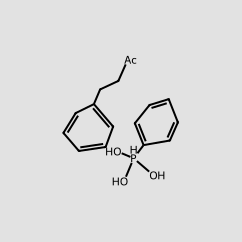 CC(=O)CCc1ccccc1.O[PH](O)(O)c1ccccc1